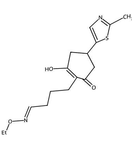 CCON=CCCCC1=C(O)CC(c2cnc(C)s2)CC1=O